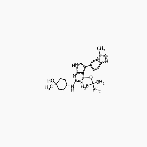 BC(B)(B)Oc1nc(N[C@H]2CC[C@](C)(O)CC2)nc2[nH]cc(-c3ccc4nnc(C)n4c3)c12